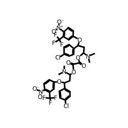 CN(C)C(CC(Oc1ccc([N+](=O)[O-])c(C(F)(F)F)c1)c1ccc(Cl)cc1)OC(=O)C(=O)OC(CC(Oc1ccc([N+](=O)[O-])c(C(F)(F)F)c1)c1ccc(Cl)cc1)N(C)C